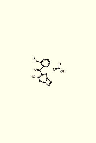 COc1ccccc1C(=O)c1cc2c(cc1O)C=C2.O=C(O)O